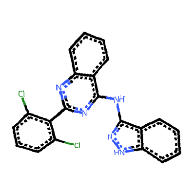 Clc1cccc(Cl)c1-c1nc(Nc2n[nH]c3ccccc23)c2ccccc2n1